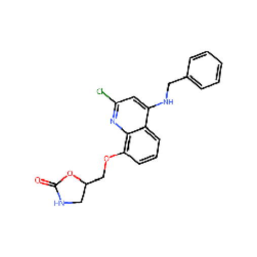 O=C1NCC(COc2cccc3c(NCc4ccccc4)cc(Cl)nc23)O1